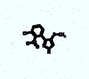 CSc1c[nH]nc1-c1cccc(Cl)c1[N+](=O)[O-]